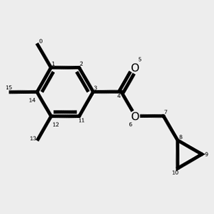 Cc1cc(C(=O)OCC2CC2)cc(C)c1C